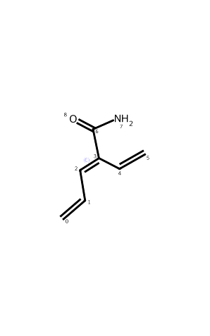 C=C/C=C(\C=C)C(N)=O